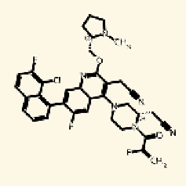 C=C(F)C(=O)N1CCN(C2=C(CC#N)C(OC[C@@H]3CCCN3C)=NC3C=C(c4cccc5ccc(F)c(Cl)c45)C(F)=CC23)C[C@@H]1CC#N